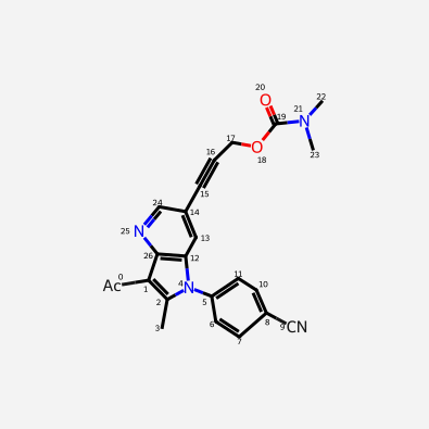 CC(=O)c1c(C)n(-c2ccc(C#N)cc2)c2cc(C#CCOC(=O)N(C)C)cnc12